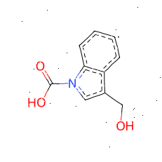 O=C(O)n1cc(CO)c2c[c]ccc21